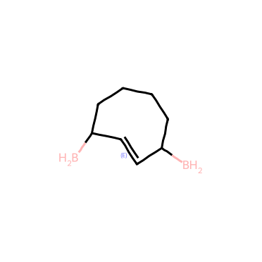 BC1/C=C/C(B)CCCC1